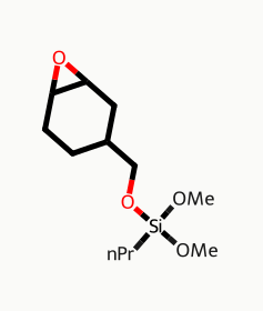 CCC[Si](OC)(OC)OCC1CCC2OC2C1